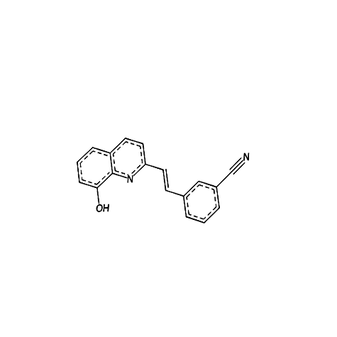 N#Cc1cccc(C=Cc2ccc3cccc(O)c3n2)c1